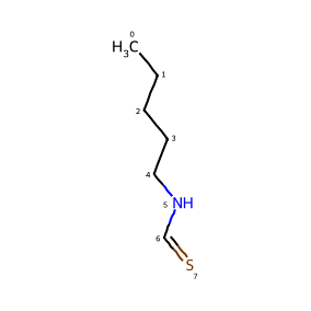 CCCCCNC=S